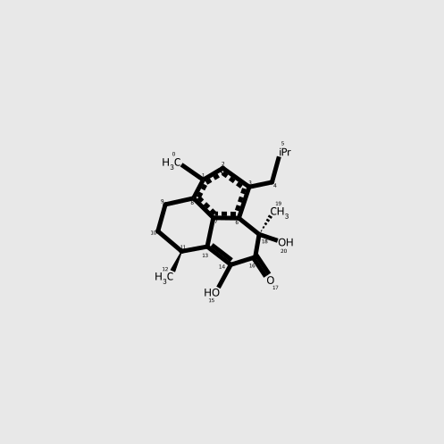 Cc1cc(CC(C)C)c2c3c1CC[C@H](C)C3=C(O)C(=O)[C@]2(C)O